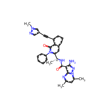 Cc1cc(C)n2nc(N)c(C(=O)N[C@H](C)c3cc4cccc(C#Cc5cnn(C)c5)c4c(=O)n3-c3ccccc3)c2n1